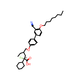 CCCCCCCCOc1ccc(-c2ccc(OCC(CC)C[C@](F)(C(=O)O)C3CCCCC3)cc2)cc1C#N